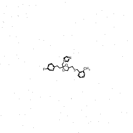 Cc1ccccc1CSCC1COC(CCc2ccc(F)cc2)(Cn2ccnc2)O1